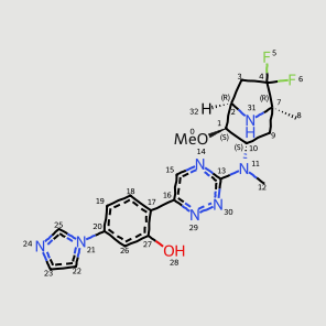 CO[C@H]1[C@H]2CC(F)(F)[C@@](C)(C[C@@H]1N(C)c1ncc(-c3ccc(-n4ccnc4)cc3O)nn1)N2